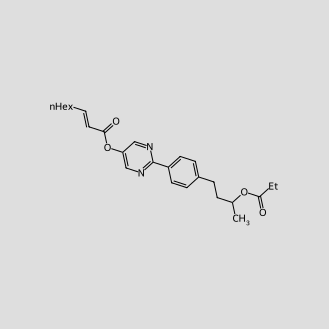 CCCCCC/C=C/C(=O)Oc1cnc(-c2ccc(CCC(C)OC(=O)CC)cc2)nc1